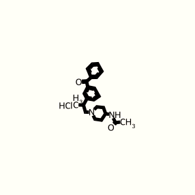 CC(=O)NC1CCN(CC(C)c2cccc(C(=O)c3ccccc3)c2)CC1.Cl